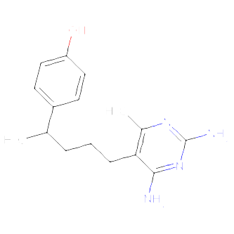 Cc1nc(N)nc(N)c1CCCC(C)c1ccc(O)cc1